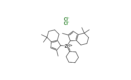 CC1=CC2=C(CCCC2(C)C)[CH]1[Zr+2](=[C]1CCCCC1)[CH]1C(C)=CC2=C1CCCC2(C)C.[Cl-].[Cl-]